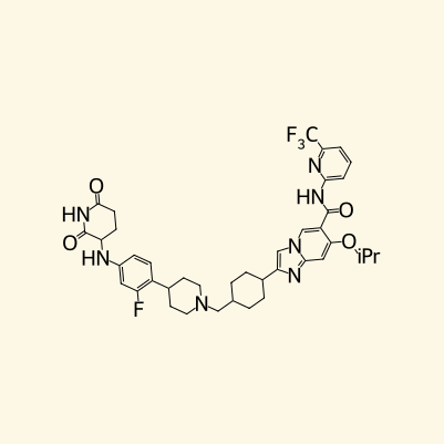 CC(C)Oc1cc2nc(C3CCC(CN4CCC(c5ccc(NC6CCC(=O)NC6=O)cc5F)CC4)CC3)cn2cc1C(=O)Nc1cccc(C(F)(F)F)n1